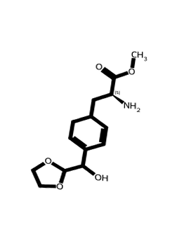 COC(=O)[C@@H](N)CC1C=CC(C(O)C2OCCO2)=CC1